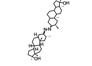 C[C@@H]1C[C@@]2(C)C(CCC3C2CC[C@@]2(C)C3CC[C@]2(C)O)CC1=NN=C1C[C@@H]2CC[C@@H]3[C@H](CC[C@@]4(C)[C@H]3CC[C@]4(C)O)[C@@]2(C)C[C@H]1C